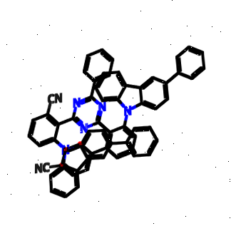 N#Cc1ccc(-c2cccc(-n3c4ccccc4c4cc(-c5ccccc5)ccc43)c2-c2nc(-c3ccccc3)nc(-c3c(C#N)cccc3-n3c4ccccc4c4cc(-c5ccccc5)ccc43)n2)cc1